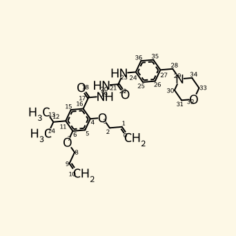 C=CCOc1cc(OCC=C)c(C(C)C)cc1C(=O)NNC(=O)Nc1ccc(CN2CCOCC2)cc1